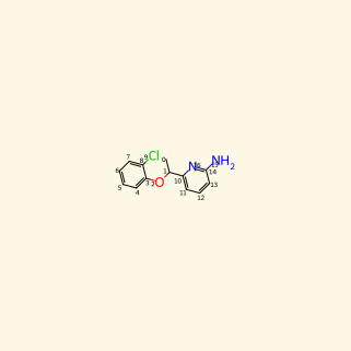 CC(Oc1ccccc1Cl)c1cccc(N)n1